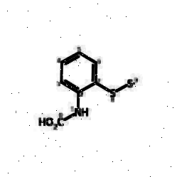 O=C(O)Nc1ccccc1S[S]